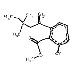 C=C(C[Si](C)(C)C)c1cccc(Cl)c1C(=O)OC